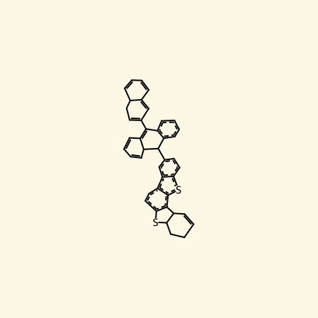 C1=CC2=CC(C3=C4C=CC=CC4C(c4ccc5sc6c7c(ccc6c5c4)SC4CCC=CC74)c4ccccc43)=CCC2C=C1